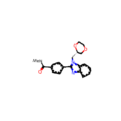 CNC(=O)c1ccc(-c2nc3ccccc3n2C[C@H]2COCCO2)cc1